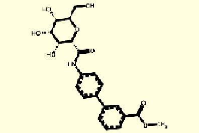 COC(=O)c1cccc(-c2ccc(NC(=O)[C@H]3O[C@H](CO)[C@@H](O)[C@@H](O)[C@H]3O)cc2)c1